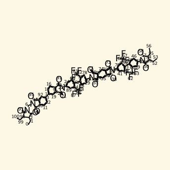 CCC1C(=O)N(CN2C(=O)c3ccc(-c4ccc5c(c4)C(=O)N(c4ccc(-c6ccc(-n7c(=O)c8cc9c(=O)n(-c%10ccc(-c%11ccc(N%12C(=O)C(CC)C(CC)C%12=O)cc%11C(F)(F)F)c(C(F)(F)F)c%10)c(=O)c9cc8c7=O)cc6C(F)(F)F)c(C(F)(F)F)c4)C5=O)cc3C2=O)C(=O)C1CC